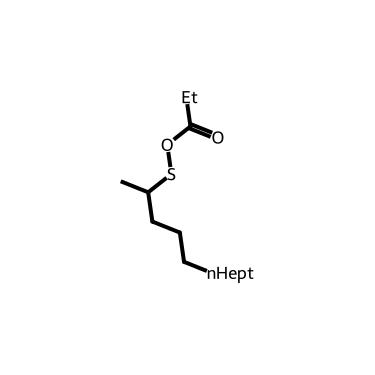 CCCCCCCCCCC(C)SOC(=O)CC